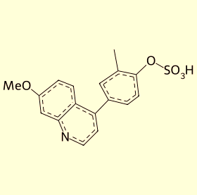 COc1ccc2c(-c3ccc(OS(=O)(=O)O)c(C)c3)ccnc2c1